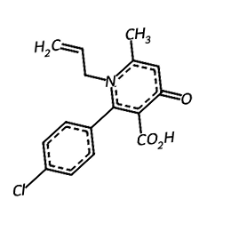 C=CCn1c(C)cc(=O)c(C(=O)O)c1-c1ccc(Cl)cc1